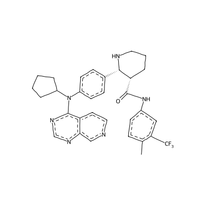 Cc1ccc(NC(=O)[C@H]2CCCN[C@H]2c2ccc(N(c3ncnc4cnccc34)C3CCCC3)cc2)cc1C(F)(F)F